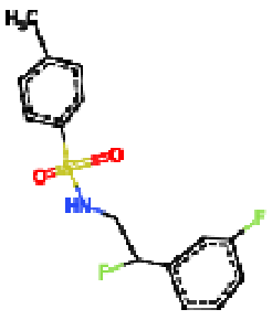 Cc1ccc(S(=O)(=O)NCC(F)c2cccc(F)c2)cc1